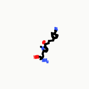 Cn1c(CCC(C)(N)CO)ccc1C(=O)CCCc1ccc(C#N)cc1